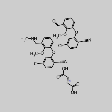 CNCc1cccc(Oc2cc(Cl)ccc2C#N)c1OC.COc1c(C=O)cccc1Oc1cc(Cl)ccc1C#N.O=C(O)/C=C/C(=O)O